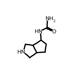 NC(=O)NC1CCC2CNCC21